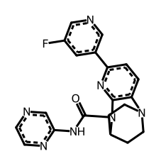 O=C(Nc1cnccn1)N1c2nc(-c3cncc(F)c3)ccc2N2CCC1CC2